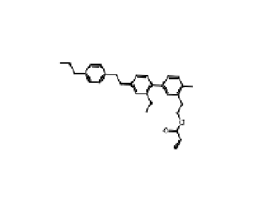 C=CC(=O)OCCc1cc(-c2ccc(CCc3ccc(CCC)cc3)cc2CC)ccc1C